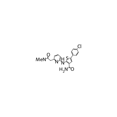 CNC(=O)Cc1cccc(Nc2sc(-c3ccc(Cl)cc3)cc2C(N)=O)n1